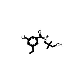 CCc1cc(Cl)cc(C(=O)N(C)CC(C)(C)CO)c1